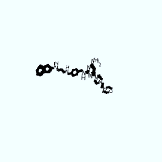 Nc1cc(N2CCN(CCN3CCOCC3)CC2)nc(NCC2CCC(CNCCCNC3Cc4ccccc4C3)CC2)n1